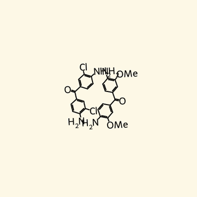 COc1cc(C(=O)c2ccc(N)c(OC)c2)ccc1N.Nc1ccc(C(=O)c2ccc(N)c(Cl)c2)cc1Cl